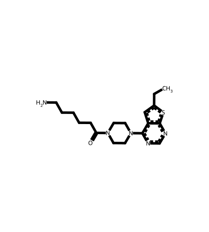 CCc1cc2c(N3CCN(C(=O)CCCCCN)CC3)ncnc2s1